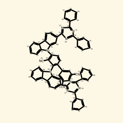 Cc1cc(C#N)cc(-c2ccc(-n3c4ccccc4c4ccc(-c5nc(-c6ccccc6)nc(-c6ccccc6)n5)cc43)c(C#N)c2-n2c3ccccc3c3ccc(-c4nc(-c5ccccc5)nc(-c5ccccc5)n4)cc32)c1